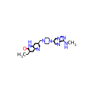 CCc1cc2ncc(CN3CCN(c4cnc5c(NC)ncn5c4)CC3)cc2[nH]c1=O